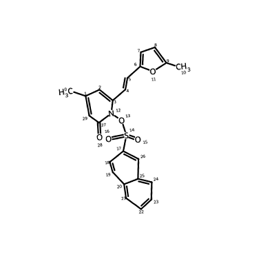 Cc1cc(C=Cc2ccc(C)o2)n(OS(=O)(=O)c2ccc3ccccc3c2)c(=O)c1